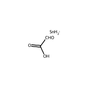 O=CC(=O)O.[SnH2]